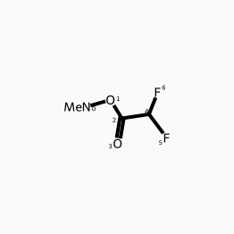 CNOC(=O)C(F)F